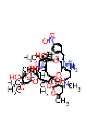 C=C1CO[C@@H]2[C@@H](C)/C(=N/O)[C@H](C)C[C@@](C)(OC1)[C@H](OC1O[C@H](C)C[C@H](N(C)CCc3cn(CCc4ccc([N+](=O)[O-])cc4)nn3)[C@H]1O)[C@@H](C)[C@H](OC1C[C@@](C)(OC)[C@@H](O)[C@H](C)O1)[C@@H](C)C(=O)O[C@H](CC)[C@@]2(C)O